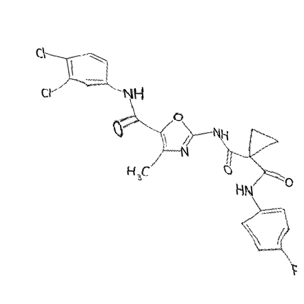 Cc1nc(NC(=O)C2(C(=O)Nc3ccc(F)cc3)CC2)oc1C(=O)Nc1ccc(Cl)c(Cl)c1